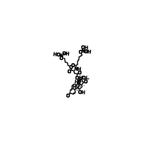 CC1(C)O[C@@H]2C[C@H]3[C@@H]4CCC5=CC(=O)C=C[C@]5(C)C4(F)[C@@H](O)C[C@]3(C)[C@]2(C(=O)COC(=O)CC(NC(=O)CCCCCON(O)O)C(=O)OCCCCON(O)O)O1